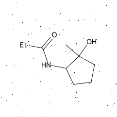 CCC(=O)NC1CCCC1(C)O